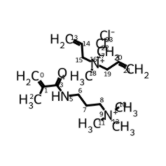 C=C(C)C(=O)NCCC[N+](C)(C)C.C=CC[N+](C)(C)CC=C.[Cl-].[Cl-]